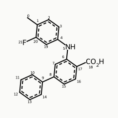 Cc1ccc(Nc2cc(-c3ccccc3)ccc2C(=O)O)cc1F